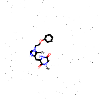 CC(=O)N1CC(=O)NC(=Cc2ncn(CCOc3ccccc3)c2C(C)C)C1=O